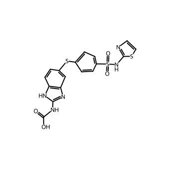 O=C(O)Nc1nc2cc(Sc3ccc(S(=O)(=O)Nc4nccs4)cc3)ccc2[nH]1